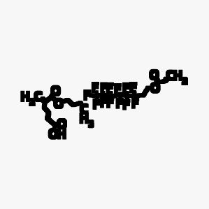 C=C(CC=CC(=O)O)C(=O)OCCCC.C=CC(=O)OCCC(F)(F)C(F)(F)C(F)(F)C(F)(F)C(F)(F)C(F)(F)F